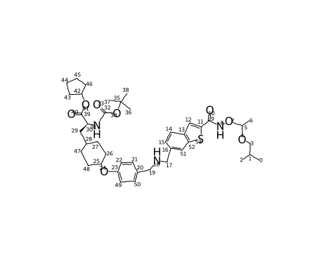 CC(C)COC(C)ONC(=O)c1cc2ccc(CNCc3ccc(OC4CCC(C[C@H](NC(=O)OC(C)(C)C)C(=O)OC5CCCC5)CC4)cc3)cc2s1